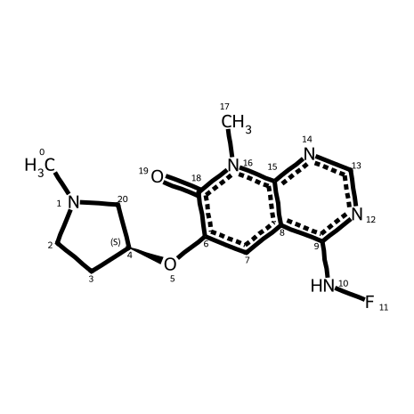 CN1CC[C@H](Oc2cc3c(NF)ncnc3n(C)c2=O)C1